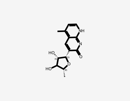 Cc1cc[nH]c2nc(=O)c([C@@H]3O[C@H](C)C(O)[C@@H]3O)cc1-2